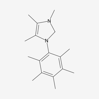 CC1=C(C)N(c2c(C)c(C)c(C)c(C)c2C)CN1C